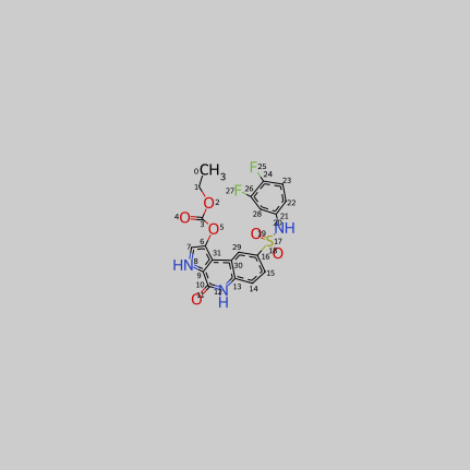 CCOC(=O)Oc1c[nH]c2c(=O)[nH]c3ccc(S(=O)(=O)Nc4ccc(F)c(F)c4)cc3c12